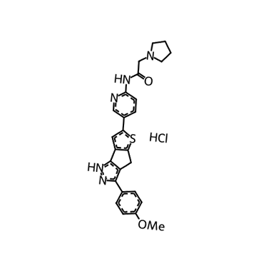 COc1ccc(-c2n[nH]c3c2Cc2sc(-c4ccc(NC(=O)CN5CCCC5)nc4)cc2-3)cc1.Cl